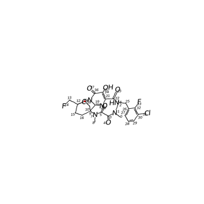 CN(C)C(=O)C(=O)N(C)C12CCC(CF)(CC1)Cn1c2nc(C(=O)NCc2cccc(Cl)c2F)c(O)c1=O